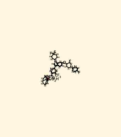 CC1CN(c2ncc(F)cn2)CCC1Oc1ccc2c(-c3ncc(C(=O)NC4(C(=O)O)C5CC6CC(C5)CC4C6)c(C(F)(F)F)n3)cn(C3CCC(F)(F)CC3)c2c1